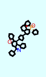 O=P(c1ccccc1)(c1ccccc1)c1ccc(-c2ccc(-c3c4c(cc5c(-c6ccccc6)nc6ccccc6c35)oc3ccccc34)cc2)c2ccccc12